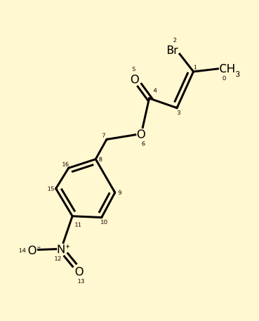 CC(Br)=CC(=O)OCc1ccc([N+](=O)[O-])cc1